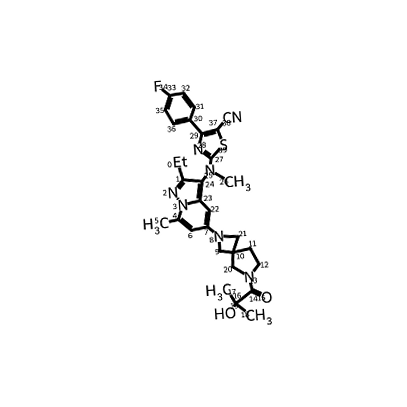 CCc1nn2c(C)cc(N3CC4(CCN(C(=O)C(C)(C)O)C4)C3)cc2c1N(C)c1nc(-c2ccc(F)cc2)c(C#N)s1